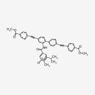 COC(=O)c1ccc(C#Cc2ccc(-c3ccc(C#Cc4ccc(C(=O)OC)cc4)cc3NC(=O)C3=C[C@@H]4CC(C(C)C)C3C=C4C)cc2)cc1